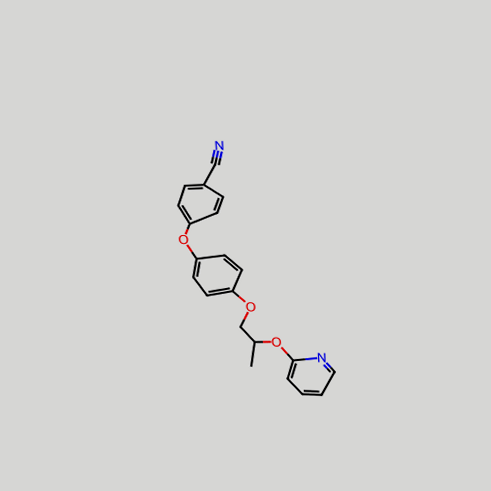 CC(COc1ccc(Oc2ccc(C#N)cc2)cc1)Oc1ccccn1